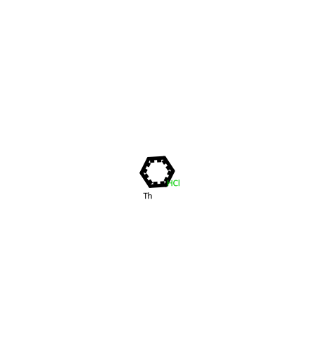 Cl.[Th].c1ccccc1